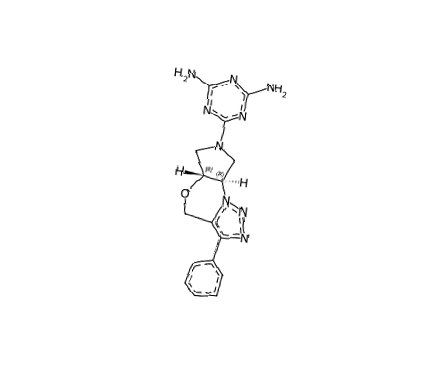 Nc1nc(N)nc(N2C[C@@H]3[C@@H](C2)OCc2c(-c4ccccc4)nnn23)n1